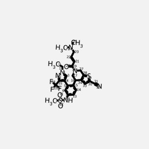 CCn1cc(-c2cc(NS(C)(=O)=O)ccc2C2CN(C(=O)/C=C/CN(C)C)Cc3sc(C#N)cc32)c(C(F)(F)F)n1